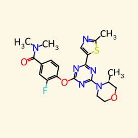 Cc1ncc(-c2nc(Oc3ccc(C(=O)N(C)C)cc3F)nc(N3CCOC[C@@H]3C)n2)s1